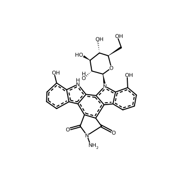 NN1C(=O)c2c(c3c4cccc(O)c4n([C@@H]4O[C@H](CO)[C@@H](O)[C@H](O)[C@H]4O)c3c3[nH]c4c(O)cccc4c23)C1=O